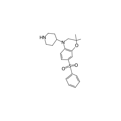 CC1(C)CN(C2CCNCC2)c2ccc(S(=O)(=O)c3ccccc3)cc2O1